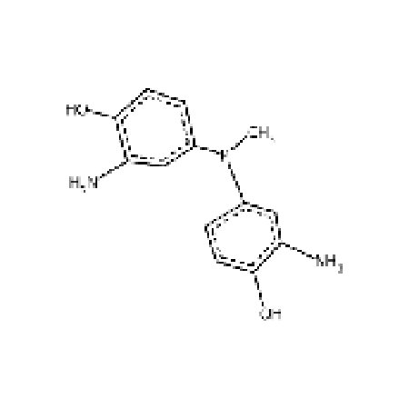 CP(c1ccc(O)c(N)c1)c1ccc(O)c(N)c1